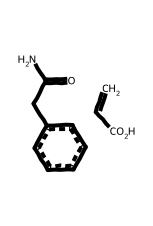 C=CC(=O)O.NC(=O)Cc1ccccc1